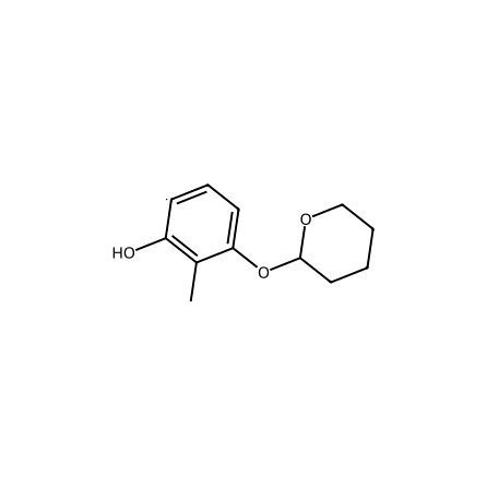 Cc1c(O)[c]ccc1OC1CCCCO1